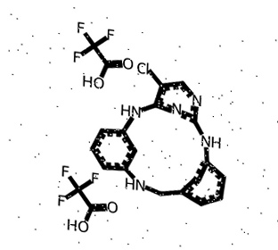 Clc1cnc2nc1Nc1cccc(c1)NCc1cccc(c1)N2.O=C(O)C(F)(F)F.O=C(O)C(F)(F)F